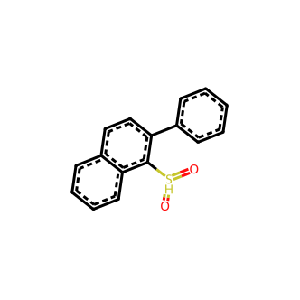 O=[SH](=O)c1c(-c2ccccc2)ccc2ccccc12